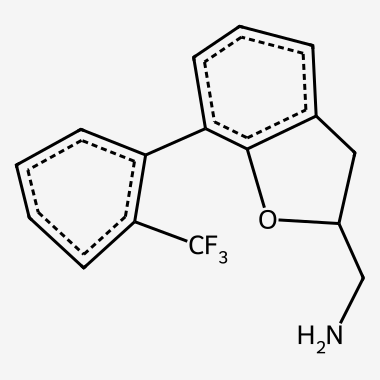 NCC1Cc2cccc(-c3ccccc3C(F)(F)F)c2O1